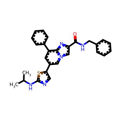 CC(C)Nc1ncc(-c2cc(-c3ccccc3)c3nc(C(=O)NCc4ccccc4)cn3c2)s1